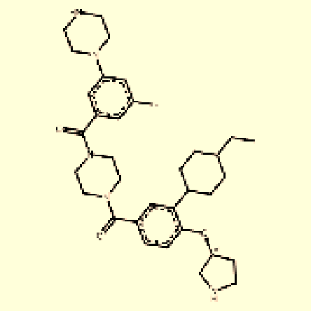 CCC1CCC(c2cc(C(=O)N3CCN(C(=O)c4cc(F)cc(N5CCNCC5)c4)CC3)ccc2O[C@H]2CCNC2)CC1